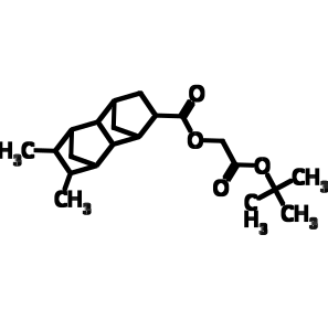 CC1C(C)C2CC1C1C3CC(C(=O)OCC(=O)OC(C)(C)C)C(C3)C21